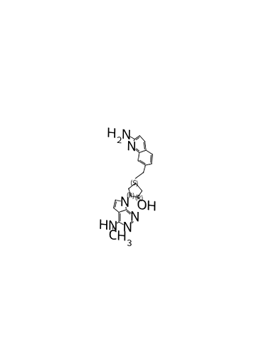 CNc1ncnc2c1ccn2[C@@H]1C[C@H](CCc2ccc3ccc(N)nc3c2)C[C@H]1O